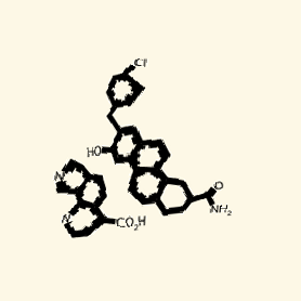 NC(=O)C1CCc2ccc3c(ccc4cc(Cc5ccc(Cl)cc5)c(O)cc43)c2C1.O=C(O)c1ccnc2c1ccc1ccncc12